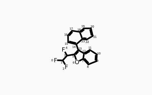 FC(F)C(F)c1oc2ccccc2c1-c1cccc2ccccc12